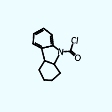 O=C(Cl)N1c2ccccc2C2CCCCC21